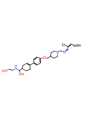 CCC(/C=N\CN1CCC(COc2ccc(C3=CCC(C(O)NCCO)CC3)cc2)CC1)=C/NC